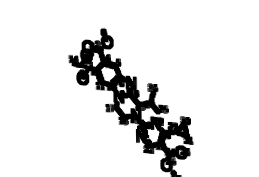 COC(=O)c1cc2nc3n(c2cc1S(C)(=O)=O)CCN(c1ncc(C(=O)OC)c(C2CC2)n1)C3C(C)C